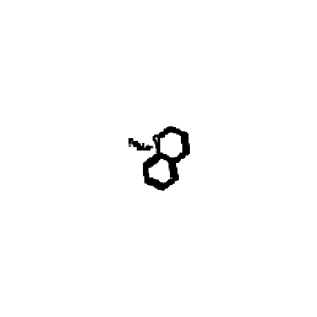 C1=Cc2ccccc2OC1.[Fe].[Mn]